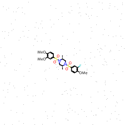 COc1ccc(S(=O)(=O)N2C[C@H](C)N(S(=O)(=O)c3ccc(OC)c(OC)c3)C[C@@H]2C)cc1F